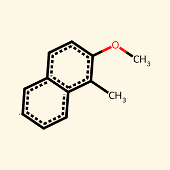 COc1ccc2c[c]ccc2c1C